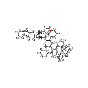 C1=CC2=C(CC1)C(c1cc(-c3ccccc3)c(-c3cccc4c3-c3ccccc3C43c4ccccc4Oc4ccccc43)cc1-c1ccccc1)NC(c1ccc3c(c1)sc1ccccc13)N2